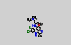 CCOc1cc2ncc(C#N)c(Nc3ccc(F)c(Cl)c3)c2cc1NC(C)CCN(C)C